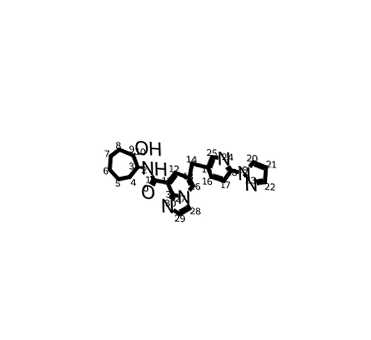 O=C(N[C@H]1CCCCC[C@@H]1O)c1cc(Cc2ccc(-n3cccn3)nc2)cn2ccnc12